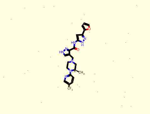 C[C@@H]1CN(Cc2c[nH]nc2C(=O)Nc2cc(-c3ccco3)n[nH]2)CCN1c1ccc(C(F)(F)F)cn1